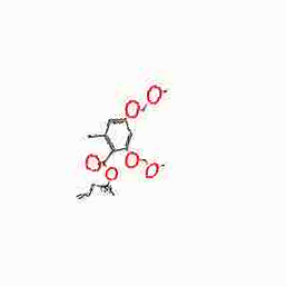 C=CC[C@H](C)OC(=O)c1c(C)cc(OCOC)cc1OCOC